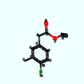 Cc1cc(CC(=O)ON=O)ccc1F